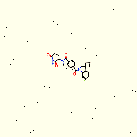 O=C1CCC(N2Cc3cc(C(=O)N4CC5(CCC5)c5ccc(F)cc54)ccc3C2=O)C(=O)N1